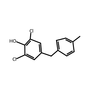 Cc1ccc(Cc2cc(Cl)c(O)c(Cl)c2)cc1